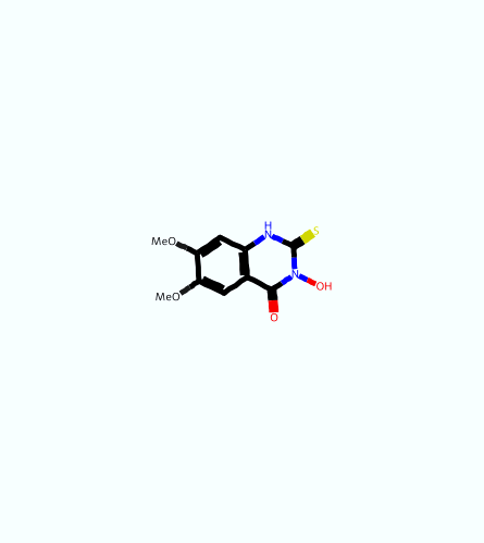 COc1cc2[nH]c(=S)n(O)c(=O)c2cc1OC